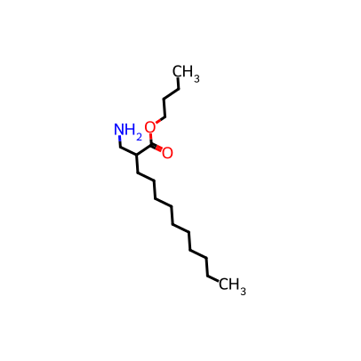 CCCCCCCCCCC(CN)C(=O)OCCCC